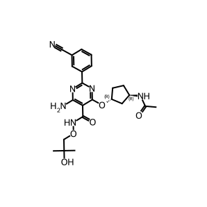 CC(=O)N[C@@H]1CC[C@@H](Oc2nc(-c3cccc(C#N)c3)nc(N)c2C(=O)NOCC(C)(C)O)C1